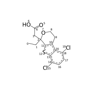 CCC1(CC(=O)O)OCCc2c1sc1c(Cl)ccc(Cl)c21